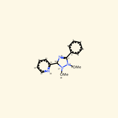 CON1C(c2ccccc2)=NC(c2ccccn2)N1OC